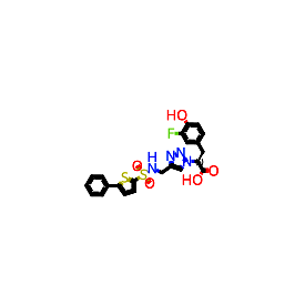 O=C(O)[C@H](Cc1ccc(O)c(F)c1)n1cc(CNS(=O)(=O)c2ccc(-c3ccccc3)s2)nn1